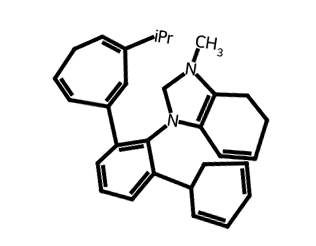 CC(C)C1=CCC=CC(c2cccc(C3C=CC=CC3)c2N2CN(C)C3=C2C=CCC3)=C1